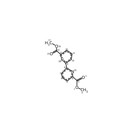 COC(=O)c1cccc(-c2cccc(C(=O)OC)n2)n1